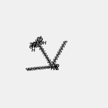 CC(=O)O[C@H]1C[C@H](n2cc(C)c(=O)[nH]c2=O)O[C@@H]1CO.CCCCCCCCCCCCCCCCCCc1cc(C(=O)NC)cc(CCCCCCCCCCCCCCCCCC)c1CCCCCCCCCCCCCCCCCC